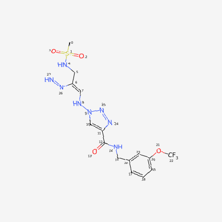 CS(=O)(=O)NC/C(=C/Nn1cc(C(=O)NCc2cccc(OC(F)(F)F)c2)nn1)N=N